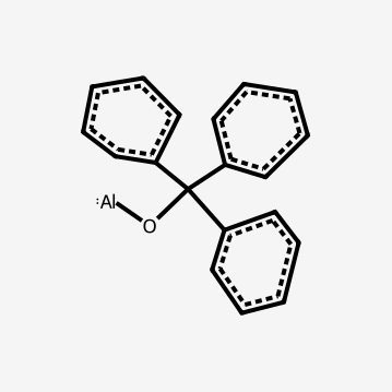 [Al][O]C(c1ccccc1)(c1ccccc1)c1ccccc1